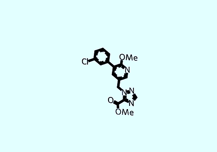 COC(=O)c1ncnn1Cc1cnc(OC)c(-c2cccc(Cl)c2)c1